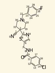 N#CC1(c2ncc(CNC(=O)c3ccc(Cl)cc3)s2)CCN(Cc2ccc(F)cc2)CC1